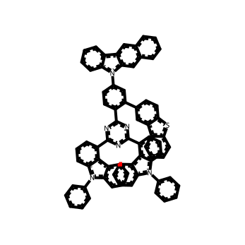 c1ccc(-n2c3ccccc3c3c(-c4nc(-c5ccc(-n6c7ccccc7c7cc8ccccc8cc76)cc5-c5ccc6sc7ccccc7c6c5)nc(-c5cccc6c5c5ccccc5n6-c5ccccc5)n4)cccc32)cc1